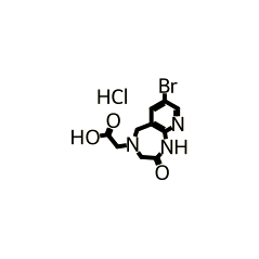 Cl.O=C(O)CN1CC(=O)Nc2ncc(Br)cc2C1